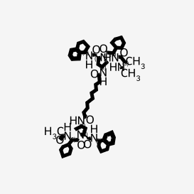 CN[C@@H](C)C(=O)N[C@H](C(=O)N1C[C@@H](NC(=O)CCCCCCCCC(=O)N[C@H]2C[C@@H](C(=O)N[C@@H]3CCCc4ccccc43)N(C(=O)[C@@H](NC(C)=O)C3CCCCC3)C2)C[C@H]1C(=O)N[C@@H]1CCCc2ccccc21)C1CCCCC1